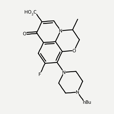 CCCCN1CCN(c2c(F)cc3c(=O)c(C(=O)O)cn4c3c2OCC4C)CC1